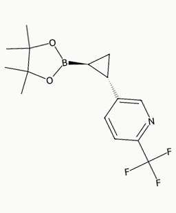 CC1(C)OB([C@H]2C[C@@H]2c2ccc(C(F)(F)F)nc2)OC1(C)C